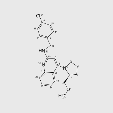 COC[C@@H]1CCCN1c1cc(NCc2ccc(Cl)cc2)nc2ccccc12